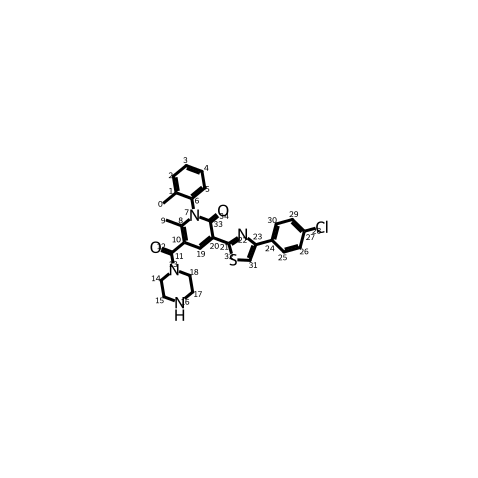 Cc1ccccc1-n1c(C)c(C(=O)N2CCNCC2)cc(-c2nc(-c3ccc(Cl)cc3)cs2)c1=O